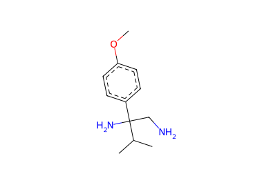 COc1ccc(C(N)(CN)C(C)C)cc1